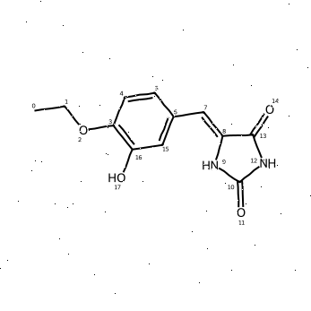 CCOc1ccc(/C=C2\NC(=O)NC2=O)cc1O